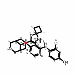 Cc1c(Nc2ccc(C#N)cc2Cl)ncnc1OC1C2COCC1CN(C(=O)OC1(C)CCC1)C2